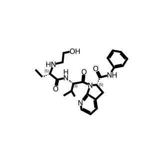 CC[C@H](NCCO)C(=O)N[C@H](C(=O)N1c2ncccc2C[C@H]1C(=O)Nc1ccccc1)C(C)C